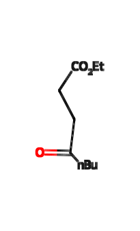 CCCCC(=O)CCC(=O)OCC